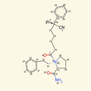 CC(C)[C@@](C#N)(CCCCC(=O)[N@@+]1(CCc2ccccc2)CCCC1C(N)=O)c1ccccc1